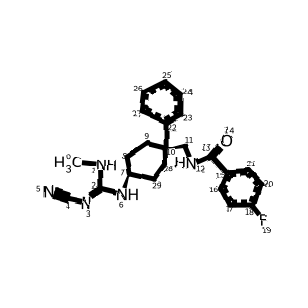 CN/C(=N\C#N)N[C@H]1CC[C@](CNC(=O)c2ccc(F)cc2)(c2ccccc2)CC1